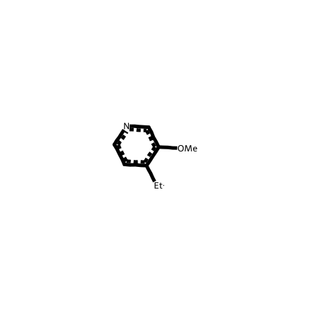 C[CH]c1ccncc1OC